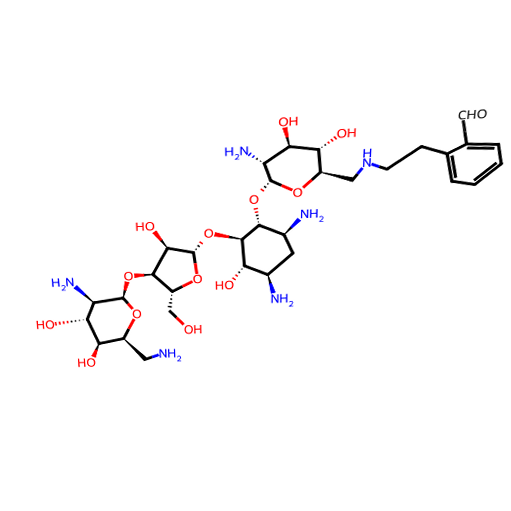 NC[C@@H]1O[C@H](O[C@H]2[C@@H](O)[C@H](O[C@@H]3[C@@H](O)[C@H](N)C[C@H](N)[C@H]3O[C@H]3O[C@H](CNCCc4ccccc4C=O)[C@@H](O)[C@H](O)[C@H]3N)O[C@@H]2CO)[C@H](N)[C@@H](O)[C@@H]1O